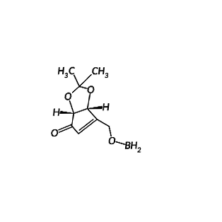 BOCC1=CC(=O)[C@@H]2OC(C)(C)O[C@H]12